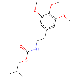 COc1cc(CCNC(=O)OCC(C)C)cc(OC)c1OC